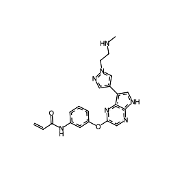 C=CC(=O)Nc1cccc(Oc2cnc3[nH]cc(-c4cnn(CCNC)c4)c3n2)c1